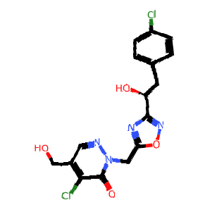 O=c1c(Cl)c(CO)cnn1Cc1nc([C@@H](O)Cc2ccc(Cl)cc2)no1